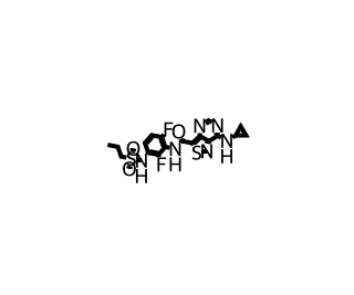 CCCS(=O)(=O)Nc1ccc(F)c(NC(=O)c2snc3c(NC4CC4)ncnc23)c1F